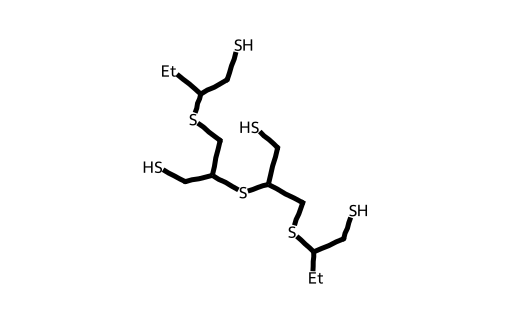 CCC(CS)SCC(CS)SC(CS)CSC(CC)CS